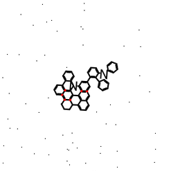 c1ccc(-c2ccccc2N(c2cccc(-c3cccc4c3c3ccccc3n4-c3ccccc3)c2)c2ccccc2-c2cccc3cccc(C4CCCCC4)c23)cc1